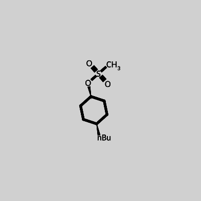 CCCC[C@H]1CC[C@@H](OS(C)(=O)=O)CC1